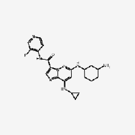 NC1CCCC(Nc2cc(NC3CC3)c3ncc(C(=O)Nc4ccncc4F)n3n2)C1